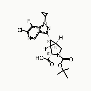 CC(C)(C)OC(=O)N1C[C@@H]2[C@@H](c3nn(C4CC4)c4c(F)c(Cl)ncc34)[C@@H]2[C@H]1C(=O)O